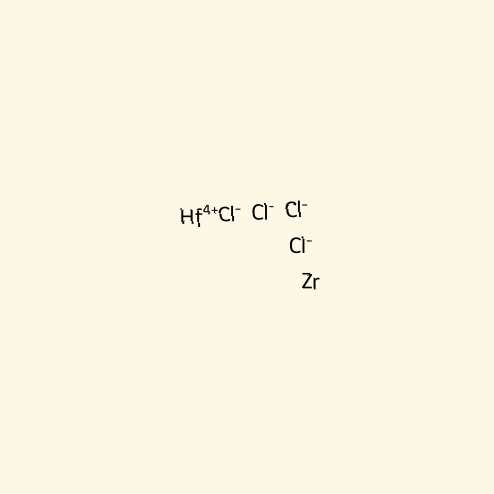 [Cl-].[Cl-].[Cl-].[Cl-].[Hf+4].[Zr]